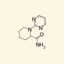 NC(=O)C1C[CH]CCN1c1ncccn1